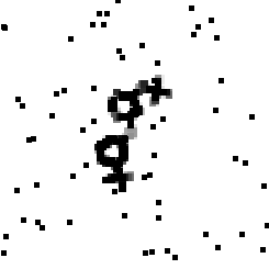 CC(C)(C)Oc1cc(Oc2cccc(C(C)(C)C)c2)ncn1